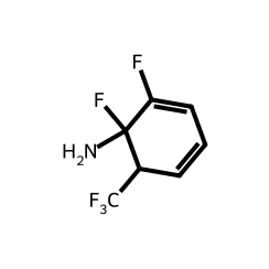 NC1(F)C(F)=CC=CC1C(F)(F)F